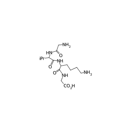 CC(C)C(NC(=O)CN)C(=O)NC(CCCCN)C(=O)NCC(=O)O